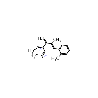 C=C(C(/C=N\C)=C/C)/C(C)=C/c1ccccc1C